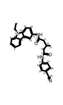 CCn1c2ccccc2c2cc(NC(=O)CC(C)CC(=O)Nc3ccc(C#N)cc3)ccc21